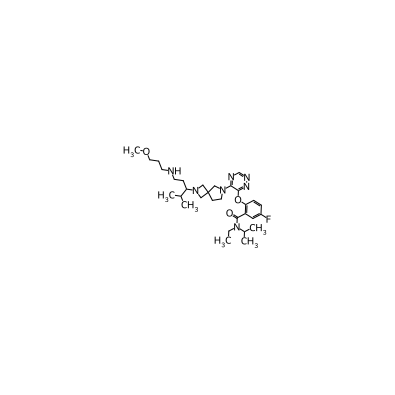 CCN(C(=O)c1cc(F)ccc1Oc1nncnc1N1CCC2(C1)CN(C(CCNCCCOC)C(C)C)C2)C(C)C